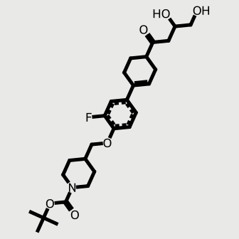 CC(C)(C)OC(=O)N1CCC(COc2ccc(C3=CCC(C(=O)CC(O)CO)CC3)cc2F)CC1